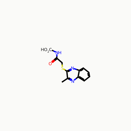 Cc1nc2ccccc2nc1SCC(=O)NC(=O)O